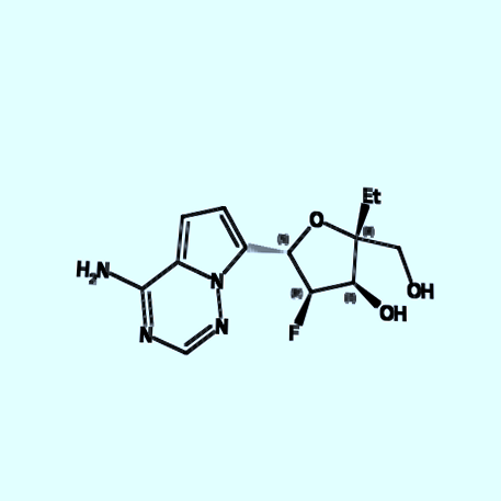 CC[C@]1(CO)O[C@@H](c2ccc3c(N)ncnn23)[C@H](F)[C@@H]1O